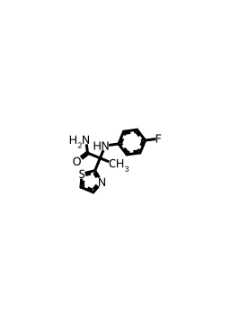 CC(Nc1ccc(F)cc1)(C(N)=O)c1nccs1